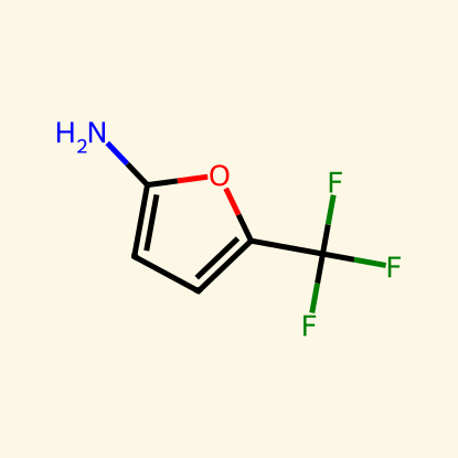 Nc1ccc(C(F)(F)F)o1